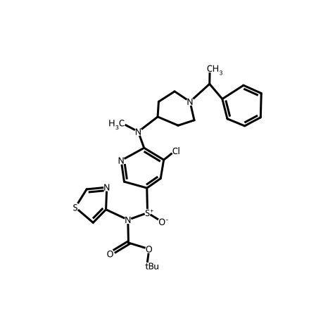 CC(c1ccccc1)N1CCC(N(C)c2ncc([S+]([O-])N(C(=O)OC(C)(C)C)c3cscn3)cc2Cl)CC1